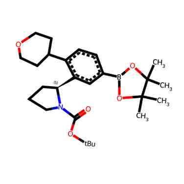 CC(C)(C)OC(=O)N1CCC[C@H]1c1cc(B2OC(C)(C)C(C)(C)O2)ccc1C1CCOCC1